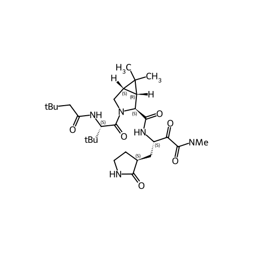 CNC(=O)C(=O)[C@H](C[C@@H]1CCNC1=O)NC(=O)[C@@H]1[C@@H]2[C@H](CN1C(=O)[C@@H](NC(=O)CC(C)(C)C)C(C)(C)C)C2(C)C